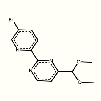 COC(OC)c1ccnc(-c2ccc(Br)cn2)n1